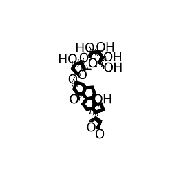 C[C@H]1O[C@@H](O[C@H]2CC[C@@]3(C=O)C(CCC4C3CC[C@]3(C)[C@@H](C5=CC(=O)OC5)CC[C@]43O)C2)C[C@H](O)[C@@H]1OC1O[C@H](CO)[C@@H](O)[C@H](O)[C@H]1O